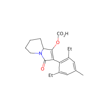 CCc1cc(C)cc(CC)c1C1=C(OC(=O)O)C2CCCCN2C1=O